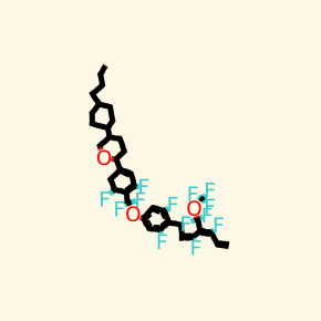 C=C/C(F)=C(\C(F)=C/Cc1c(F)cc(OC(F)(F)C2=C(F)C=C(C3CCC(C4CCC(CCCC)CC4)CO3)CC2F)cc1F)C(F)(F)OC(F)(F)F